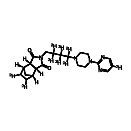 [2H]c1cnc(N2CCN(C([2H])([2H])C([2H])([2H])C([2H])([2H])CN3C(=O)[C@@H]4[C@H](C3=O)[C@H]3C[C@@H]4C([2H])C3[2H])CC2)nc1